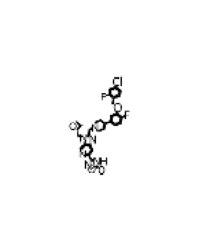 O=c1[nH]c(-c2cc3nc(CN4CC=C(c5ccc(F)c(OCc6ccc(Cl)cc6F)c5)CC4)n(C[C@@H]4CCO4)c3cn2)no1